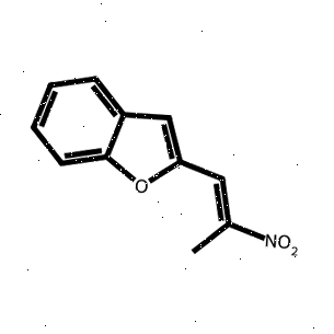 CC(=Cc1cc2ccccc2o1)[N+](=O)[O-]